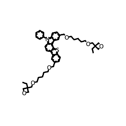 CCC1(COCCCCCOCc2ccc3sc4c(ccc5c4c4cc(COCCCCCOCC6(CC)COC6)ccc4n5-c4ccccc4)c3c2)COC1